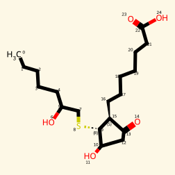 CCCCCC(O)CS[C@H]1C(O)CC(=O)[C@@H]1CCCCCCC(=O)O